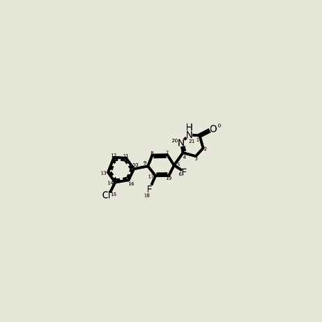 O=C1CCC(C2(F)C=CC(c3cccc(Cl)c3)C(F)=C2)=NN1